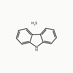 S.c1ccc2c(c1)[nH]c1ccccc12